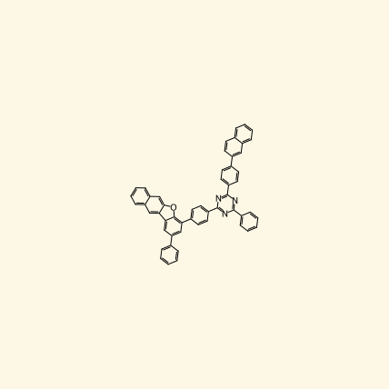 c1ccc(-c2cc(-c3ccc(-c4nc(-c5ccccc5)nc(-c5ccc(-c6ccc7ccccc7c6)cc5)n4)cc3)c3oc4cc5ccccc5cc4c3c2)cc1